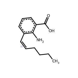 CCCC/C=C\c1cccc(C(=O)O)c1N